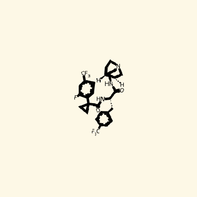 O=C(N[C@@H]1C[N@]2CC[C@H]1CC2)[C@H](Cc1ccc(C(F)(F)F)cc1)NC(=O)C1(c2ccc(C(F)(F)F)cc2F)CC1